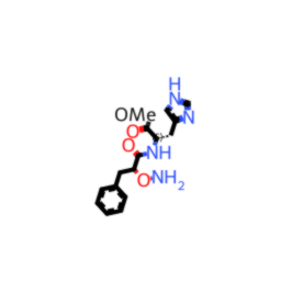 COC(=O)[C@H](Cc1c[nH]cn1)NC(=O)C(Cc1ccccc1)ON